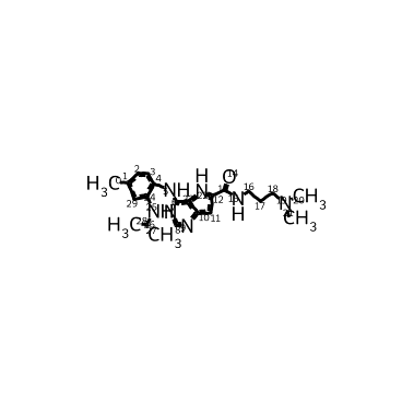 Cc1ccc(Nc2ncnc3cc(C(=O)NCCCN(C)C)[nH]c23)c(NC(C)C)c1